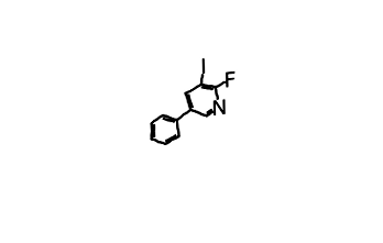 Fc1ncc(-c2ccccc2)cc1I